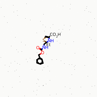 CCC1(CNC(=O)OCc2ccccc2)NC(C(=O)O)=CS1